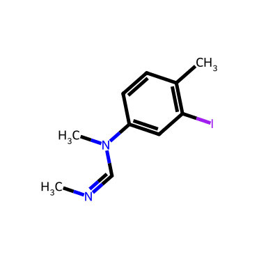 C/N=C\N(C)c1ccc(C)c(I)c1